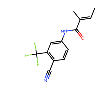 C/C=C(\C)C(=O)Nc1ccc(C#N)c(C(F)(F)F)c1